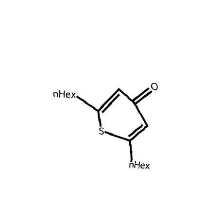 CCCCCCc1cc(=O)cc(CCCCCC)s1